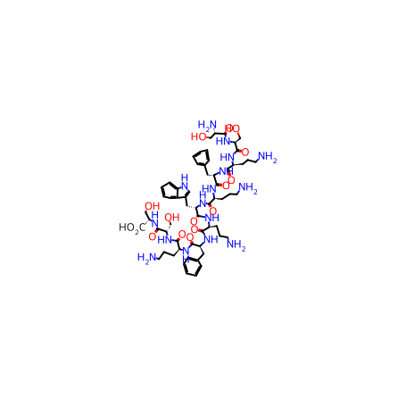 NCCC[C@H](NC(=O)[C@H](Cc1ccccc1)NC(=O)[C@H](CCCN)NC(=O)[C@H](Cc1c[nH]c2ccccc12)NC(=O)[C@H](CCCN)NC(=O)[C@H](Cc1ccccc1)NC(=O)[C@H](CCCN)NC(=O)[C@H](CO)NC(=O)[C@@H](N)CO)C(=O)N[C@@H](CO)C(=O)N[C@@H](CO)C(=O)O